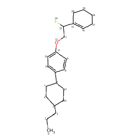 CCCC1CCC(c2ccc(OCC(F)C3=CCCCC3)cc2)CC1